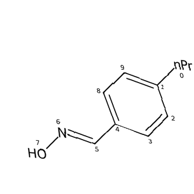 CCCc1ccc(C=NO)cc1